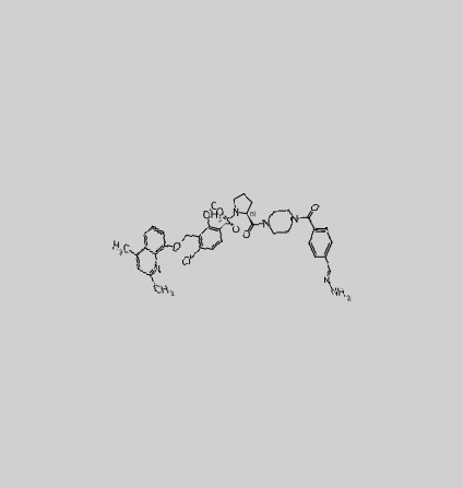 COc1c(S(=O)(=O)N2CCC[C@H]2C(=O)N2CCN(C(=O)c3ccc(C=NN)cc3)CC2)ccc(Cl)c1COc1cccc2c(C)cc(C)nc12